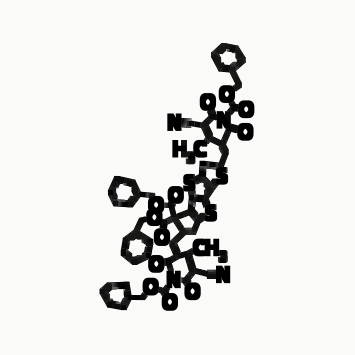 CC1=C(C#N)C(=O)N(C(=O)OCc2ccccc2)C(=O)/C1=C/C1=Cc2sc3c(sc4cc(/C=C5/C(=O)N(C(=O)OCc6ccccc6)C(=O)C(C#N)=C5C)sc43)c2C1(C(=O)OCc1ccccc1)C(=O)OCc1ccccc1